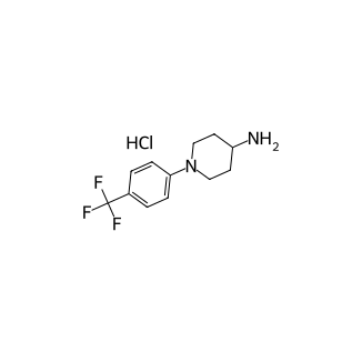 Cl.NC1CCN(c2ccc(C(F)(F)F)cc2)CC1